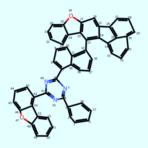 c1ccc(-c2nc(-c3cccc4c(-c5c6c(cc7oc8ccccc8c57)-c5cccc7cccc-6c57)cccc34)nc(-c3cccc4oc5ccccc5c34)n2)cc1